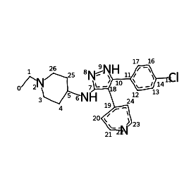 CCN1CCC(Nc2n[nH]c(-c3ccc(Cl)cc3)c2-c2ccncc2)CC1